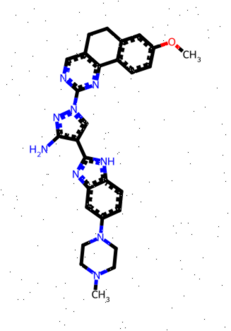 COc1ccc2c(c1)CCc1cnc(-n3cc(-c4nc5cc(N6CCN(C)CC6)ccc5[nH]4)c(N)n3)nc1-2